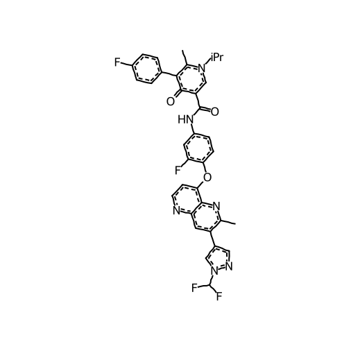 Cc1nc2c(Oc3ccc(NC(=O)c4cn(C(C)C)c(C)c(-c5ccc(F)cc5)c4=O)cc3F)ccnc2cc1-c1cnn(C(F)F)c1